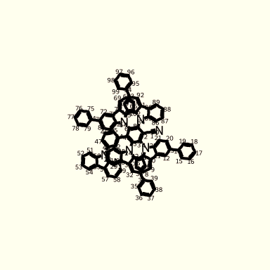 N#Cc1c(-n2c3ccccc3c3cc(-c4ccccc4)ccc32)c(-n2c3ccccc3c3cc(-c4ccccc4)ccc32)c(-c2cccc(-n3c4ccccc4c4cccnc43)c2)c(-n2c3ccccc3c3cc(-c4ccccc4)ccc32)c1-n1c2ccccc2c2cc(-c3ccccc3)ccc21